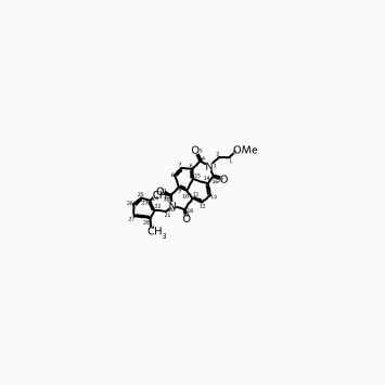 COCCN1C(=O)c2ccc3c4c(ccc(c24)C1=O)C(=O)N(Cc1c(C)cccc1C)C3=O